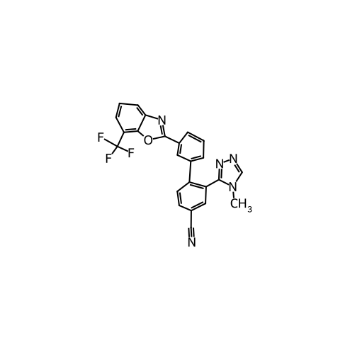 Cn1cnnc1-c1cc(C#N)ccc1-c1cccc(-c2nc3cccc(C(F)(F)F)c3o2)c1